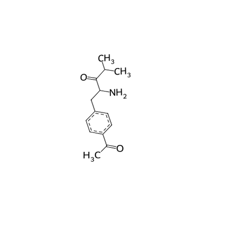 CC(=O)c1ccc(CC(N)C(=O)C(C)C)cc1